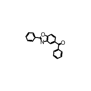 O=C(c1ccccc1)c1ccc2oc(-c3ccccc3)nc2c1